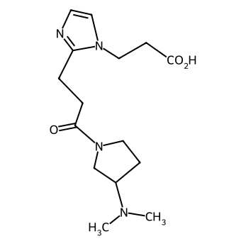 CN(C)C1CCN(C(=O)CCc2nccn2CCC(=O)O)C1